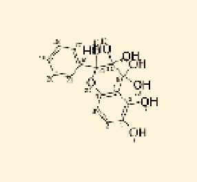 Oc1ccc2c(c1O)C(O)(O)C(O)(O)C(O)(c1ccccc1)O2